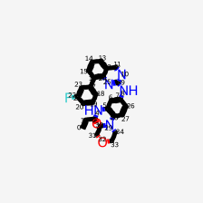 C=CC(=O)Nc1cc(Nc2ncc3cccc(-c4cccc(F)c4)c3n2)ccc1N1CCOCC1